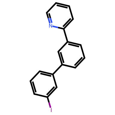 Ic1cccc(-c2cccc(-c3ccccn3)c2)c1